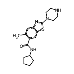 Cc1cc2nc(N3CCNCC3)sc2cc1C(=O)NC1CCCC1